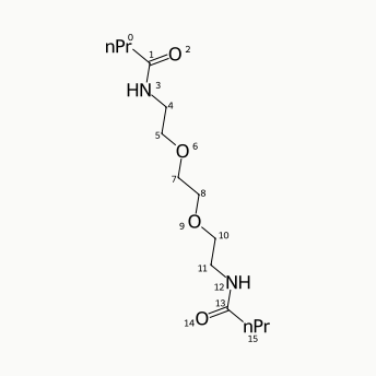 CCCC(=O)NCCOCCOCCNC(=O)CCC